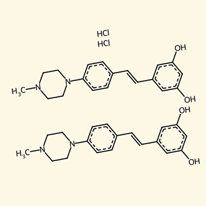 CN1CCN(c2ccc(C=Cc3cc(O)cc(O)c3)cc2)CC1.CN1CCN(c2ccc(C=Cc3cc(O)cc(O)c3)cc2)CC1.Cl.Cl